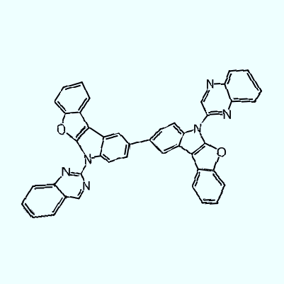 c1ccc2nc(-n3c4ccc(-c5ccc6c(c5)c5c7ccccc7oc5n6-c5cnc6ccccc6n5)cc4c4c5ccccc5oc43)ncc2c1